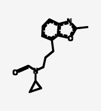 Cc1nc2cccc(CCCN(C=O)C3CC3)c2o1